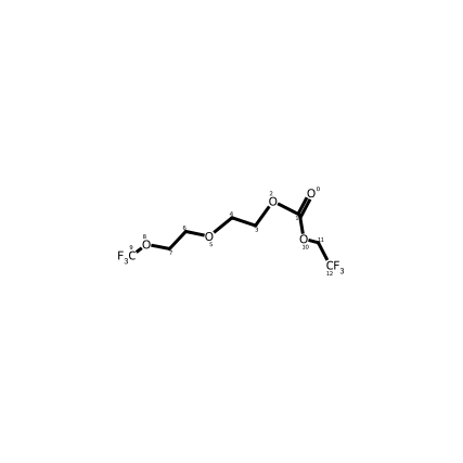 O=C(OCCOCCOC(F)(F)F)OCC(F)(F)F